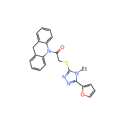 CCn1c(SCC(=O)N2c3ccccc3Cc3ccccc32)nnc1-c1ccco1